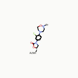 CC(=O)NC[C@H]1CN(c2ccc(N3CCON(C(C)C)CC3)c(F)c2)C(=O)O1